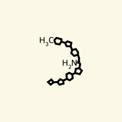 CC1CCC(C2CCC(C3CCC(C[C@@H](N)CC4CCC(C5CCC(C6CCC(C7CCC7)C6)CC5)C4)CC3)C2)CC1